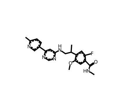 CNC(=O)c1cc(OC)c(C(C)CNc2cc(-c3ccc(C)nc3)ncn2)cc1F